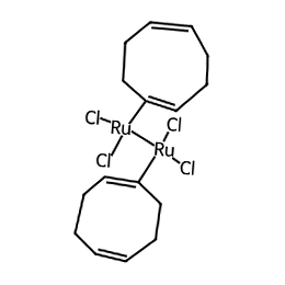 [Cl][Ru]([Cl])([C]1=CCCC=CCC1)[Ru]([Cl])([Cl])[C]1=CCCC=CCC1